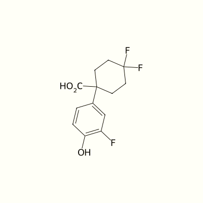 O=C(O)C1(c2ccc(O)c(F)c2)CCC(F)(F)CC1